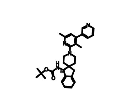 Cc1cc(-c2cccnc2)c(C)c(N2CCC3(CC2)Cc2ccccc2[C@H]3NC(=O)OC(C)(C)C)n1